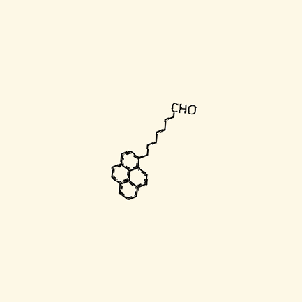 O=CCCCCCCCc1ccc2ccc3cccc4ccc1c2c34